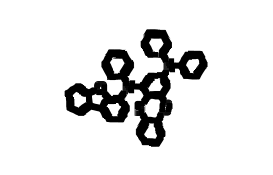 c1ccc(N(c2ccccc2)c2cc3c(c(N(c4ccccc4)c4cccc5c4oc4ccccc45)c2)Sc2ccccc2O3)cc1